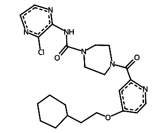 O=C(Nc1nccnc1Cl)N1CCN(C(=O)c2cc(OCCC3CCCCC3)ccn2)CC1